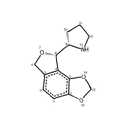 c1cc2c(c3c1CO[C@@H]3[C@@H]1CCCN1)OCO2